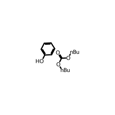 CCCCOC(=O)OCCCC.Oc1ccccc1